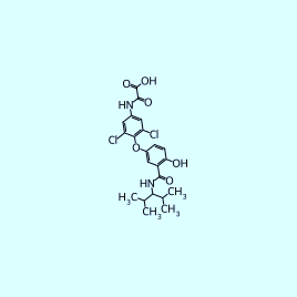 CC(C)C(NC(=O)c1cc(Oc2c(Cl)cc(NC(=O)C(=O)O)cc2Cl)ccc1O)C(C)C